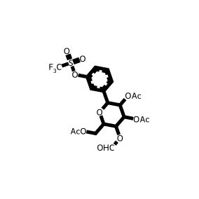 CC(=O)OCC1OC(c2cccc(OS(=O)(=O)C(F)(F)F)c2)C(OC(C)=O)C(OC(C)=O)C1OC=O